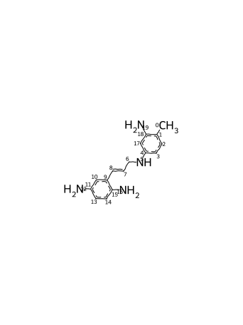 Cc1ccc(NCC=Cc2cc(N)ccc2N)cc1N